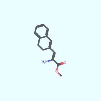 COC(=O)/C(N)=C/C1=Cc2ccccc2CC1